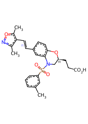 Cc1cccc(S(=O)(=O)N2C[C@H](CCC(=O)O)Oc3ccc(/C=C/c4c(C)noc4C)cc32)c1